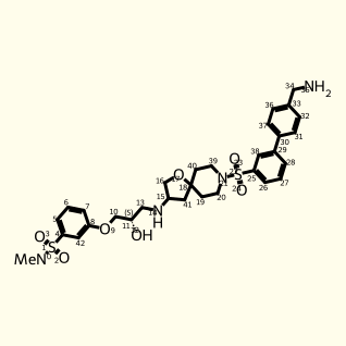 CNS(=O)(=O)c1cccc(OC[C@@H](O)CNC2COC3(CCN(S(=O)(=O)c4cccc(-c5ccc(CN)cc5)c4)CC3)C2)c1